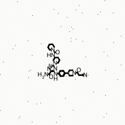 N#CCC(=O)N1CCC(c2ccc(Nc3nc(N4CCCC(NC(=O)N5CCCCC5)C4)nnc3C(N)=O)cc2)CC1